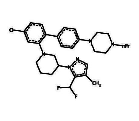 CCCN1CCN(c2ccc(-c3ccc(Cl)cc3N3CCCC(n4ncc(C)c4C(F)F)C3)cc2)CC1